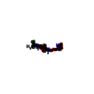 CC1(C)CCC(CN2CCN(c3ccc(C(=O)NS(=O)(=O)c4ccc(N[C@H](CCN5CCN(CCOCCOCCOCCNc6cccc7c6C(=O)N(C6CCC(=O)NC6=O)C7=O)CC5)CSc5ccccc5)c(S(=O)(=O)C(F)(F)F)c4)cc3)CC2)=C(C23CC(C(F)F)(C2)C3)C1